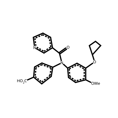 COc1ccc(N(C(=O)c2cccnc2)c2ccc(C(=O)O)cc2)cc1OC1CCC1